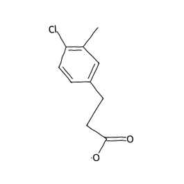 Cc1cc(CCC([O])=O)ccc1Cl